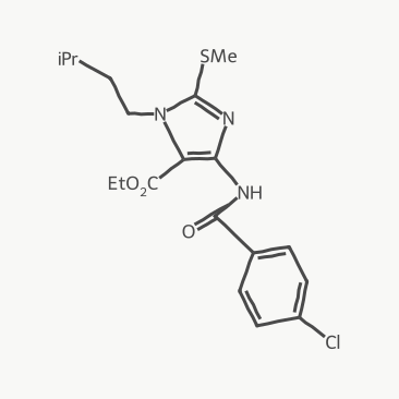 CCOC(=O)c1c(NC(=O)c2ccc(Cl)cc2)nc(SC)n1CCC(C)C